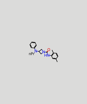 CCCN(c1ccccc1)C1CN(C(=O)Nc2cc(C)ccc2C)C1